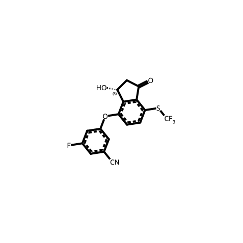 N#Cc1cc(F)cc(Oc2ccc(SC(F)(F)F)c3c2[C@H](O)CC3=O)c1